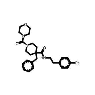 CCc1ccc(CCNC(=O)C2(Cc3ccccc3)CCN(C(=O)N3CCOCC3)CC2)cc1